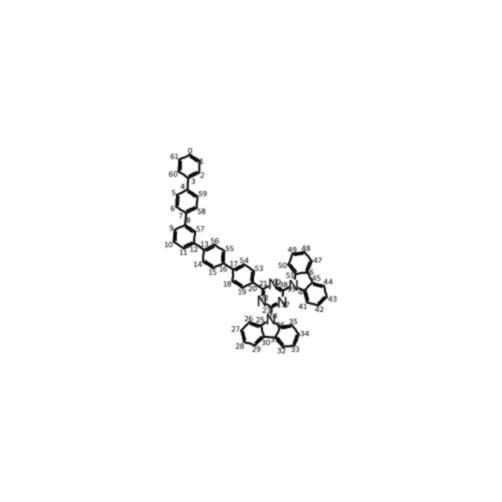 c1ccc(-c2ccc(-c3cccc(-c4ccc(-c5ccc(-c6nc(-n7c8ccccc8c8ccccc87)nc(-n7c8ccccc8c8ccccc87)n6)cc5)cc4)c3)cc2)cc1